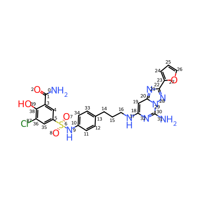 NC(=O)c1cc(S(=O)(=O)Nc2ccc(CCCNc3cc4nc(-c5ccco5)nn4c(N)n3)cc2)cc(Cl)c1O